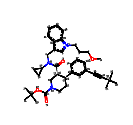 COCCCn1cc(CN(C(=O)[C@H]2CN(C(=O)OC(C)(C)C)CC[C@@H]2c2cccc(C#C[Si](C)(C)C)c2)C2CC2)c2ccccc21